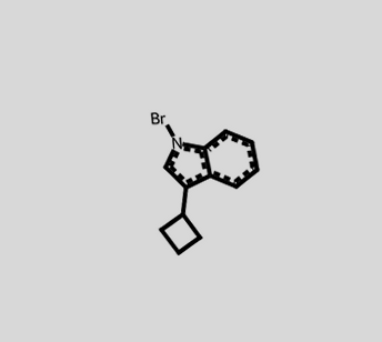 Brn1cc(C2CCC2)c2ccccc21